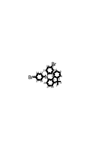 CC1(C)c2ccccc2-c2c(N(c3ccc(Br)cc3)c3ccc(Br)cc3)cccc21